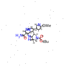 COc1ccc(-c2cc3c(NC4CCN(C(=O)OC(C)(C)C)CC4(C)C)c(C(N)=O)cnn3c2)cn1